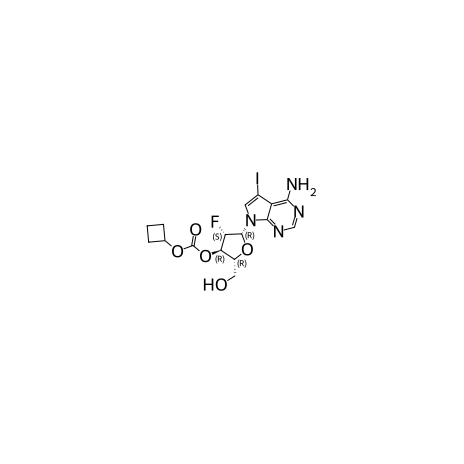 Nc1ncnc2c1c(I)cn2[C@@H]1O[C@H](CO)[C@@H](OC(=O)OC2CCC2)[C@@H]1F